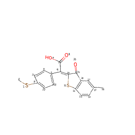 CSc1ccc(C(C(=O)O)=C2Sc3ccc(C)cc3C2=O)cc1